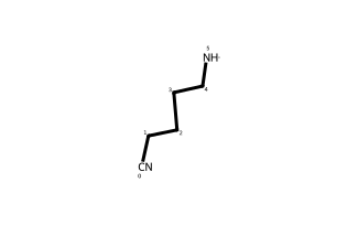 N#CCCCC[NH]